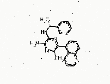 Cc1nc(N)c(N[C@H](C)c2ccccc2)nc1-c1cccc2ncccc12